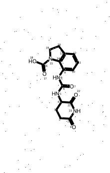 O=C1CCC(NC(=O)Nc2cccc3c2N(C(=O)O)CC3)C(=O)N1